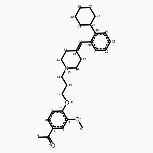 COc1cc(C(C)=O)ccc1OCCCN1CCC(=Cc2ccccc2C2CCCCC2)CC1